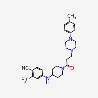 Cc1ccc(N2CCN(CCC(=O)N3CCC(Nc4ccc(C#N)c(C(F)(F)F)c4)CC3)CC2)cc1